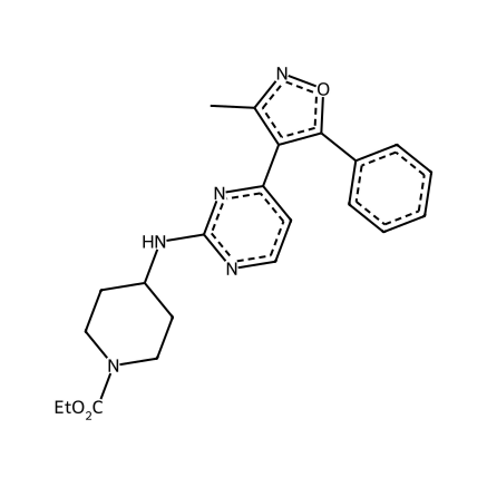 CCOC(=O)N1CCC(Nc2nccc(-c3c(C)noc3-c3ccccc3)n2)CC1